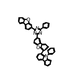 c1ccc(-c2nc(-c3ccc4c(c3)oc3ccccc34)nc(-c3ccc4oc5c(-c6cccc7c8ccccc8n(-c8ccccc8)c67)cccc5c4c3)n2)cc1